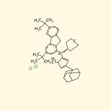 CC1C=C(C23CC4CC(CC(C4)C2)C3)C=[C]1[Zr+2](=[C]1CCCCC1)[c]1cc(C(C)(C)C)cc2c1Cc1ccc(C(C)(C)C)cc1-2.[Cl-].[Cl-]